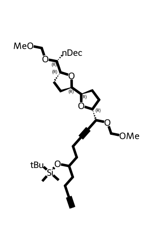 C#CCCC(CCC#CC(OCOC)[C@H]1CC[C@H]([C@H]2CC[C@H]([C@@H](CCCCCCCCCC)OCOC)O2)O1)O[Si](C)(C)C(C)(C)C